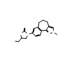 CC(=O)NCC1CN(c2ccc3c(c2)CCCc2cn(C)nc2-3)C(=O)O1